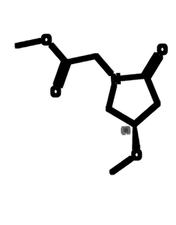 COC(=O)CN1C[C@H](OC)CC1=O